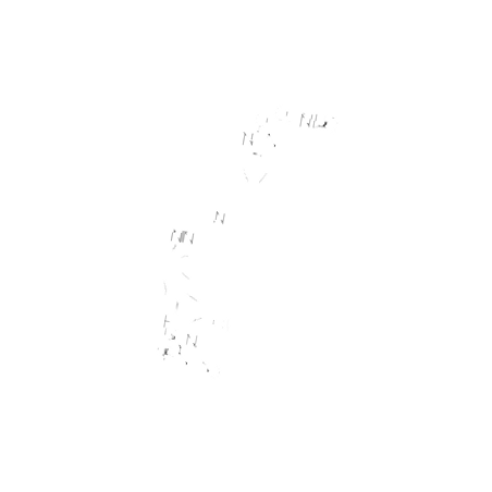 Cn1c(=O)n(C2CCC(=O)NC2=O)c2ccc(C3CCN(CCn4cc(-c5ccc6c(F)c(N7CC(=O)NS7(=O)=O)c(O)cc6c5)cn4)CC3)cc21